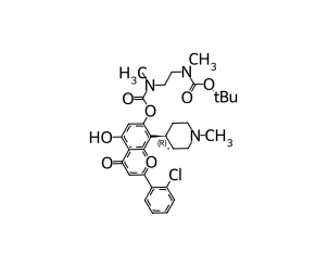 CN1C[CH][C@@H](c2c(OC(=O)N(C)CCN(C)C(=O)OC(C)(C)C)cc(O)c3c(=O)cc(-c4ccccc4Cl)oc23)CC1